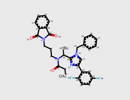 CC(=O)OCC(=O)N(CCCN1C(=O)c2ccccc2C1=O)C(c1nc(-c2cc(F)ccc2F)cn1Cc1ccccc1)C(C)(C)C